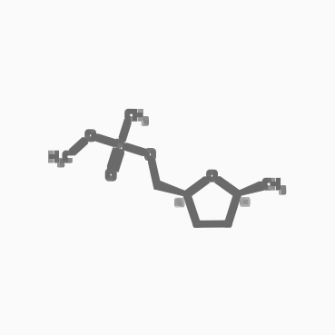 COP(C)(=O)OC[C@@H]1CC[C@H](C)O1